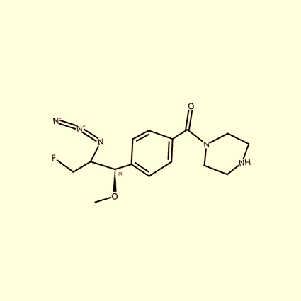 CO[C@H](c1ccc(C(=O)N2CCNCC2)cc1)C(CF)N=[N+]=[N-]